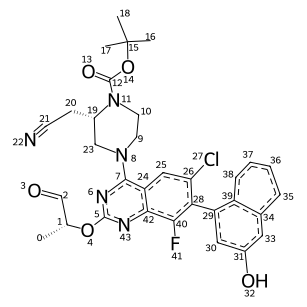 C[C@H](C=O)Oc1nc(N2CCN(C(=O)OC(C)(C)C)[C@@H](CC#N)C2)c2cc(Cl)c(-c3cc(O)cc4ccccc34)c(F)c2n1